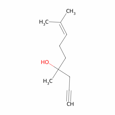 C#CCC(C)(O)CCC=C(C)C